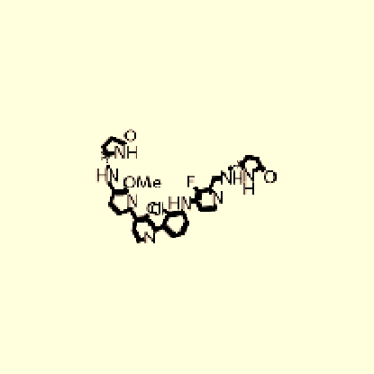 COc1nc(-c2ccnc(-c3cccc(Nc4ccnc(CNC[C@@H]5CCC(=O)N5)c4F)c3Cl)c2Cl)ccc1CNC[C@@H]1CCC(=O)N1